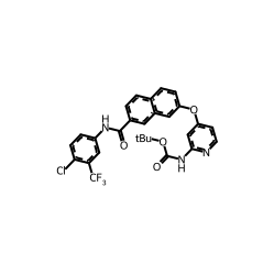 CC(C)(C)OC(=O)Nc1cc(Oc2ccc3ccc(C(=O)Nc4ccc(Cl)c(C(F)(F)F)c4)cc3c2)ccn1